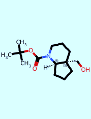 CC(C)(C)OC(=O)N1CCC[C@@]2(CO)CCC[C@@H]12